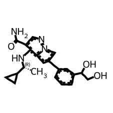 C[C@@H](Nc1c(C(N)=O)cnn2cc(-c3cccc(C(O)CO)c3)cc12)C1CC1